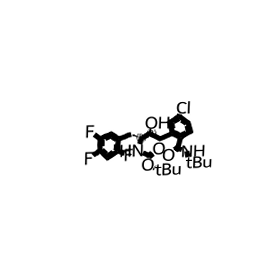 CC(C)(C)NC(=O)c1ccc(Cl)cc1C[C@@H](O)[C@@H](Cc1cc(F)c(F)cc1F)NC(=O)OC(C)(C)C